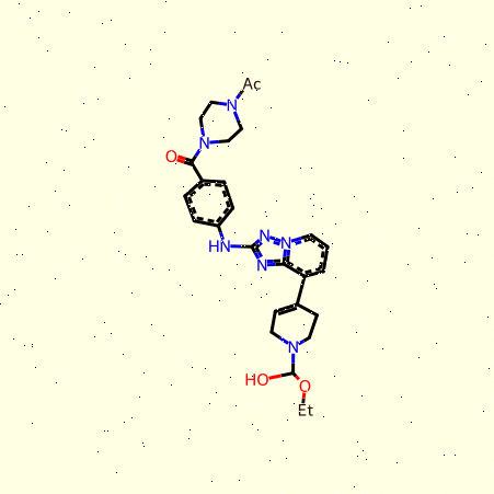 CCOC(O)N1CC=C(c2cccn3nc(Nc4ccc(C(=O)N5CCN(C(C)=O)CC5)cc4)nc23)CC1